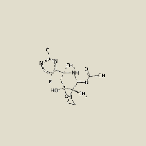 C[C@@]1(c2nc(Cl)ncc2F)CS(O)(O)[C@@](C)(C2CC2)C(=NC(=O)O)N1